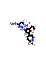 CNC1CC(C)NC(Nc2cc3c(c(C4=CCN[C@@H](C)CC4)c2F)OCCC3)N1